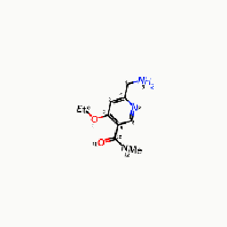 CCOc1cc(CN)ncc1C(=O)NC